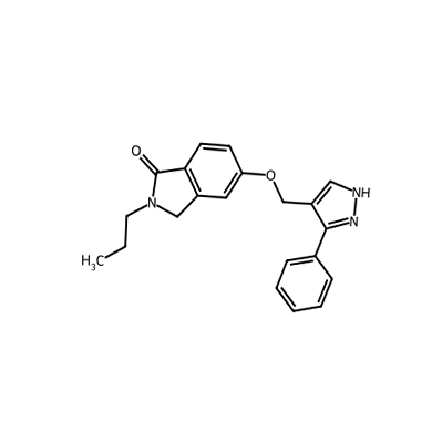 CCCN1Cc2cc(OCc3c[nH]nc3-c3ccccc3)ccc2C1=O